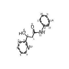 O=C(CC(O)c1ncccn1)Nc1ccccc1